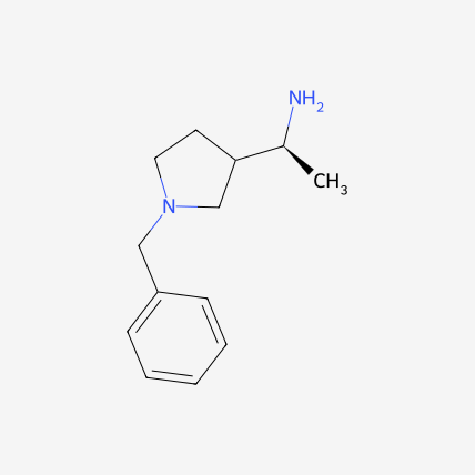 C[C@H](N)C1CCN(Cc2ccccc2)C1